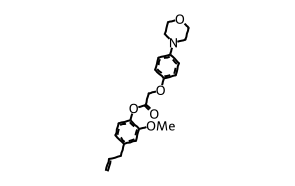 C=CCc1ccc(OC(=O)COc2ccc(N3CCOCC3)cc2)c(OC)c1